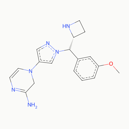 COc1cccc(C([C@H]2CCN2)n2cc(N3C=CN=C(N)C3)cn2)c1